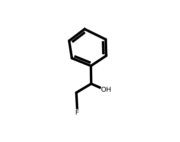 OC(CF)c1cc[c]cc1